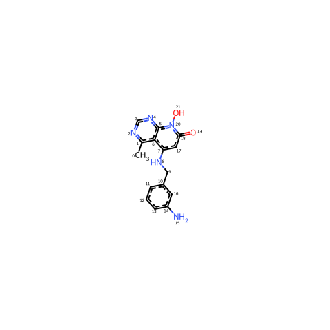 Cc1ncnc2c1c(NCc1cccc(N)c1)cc(=O)n2O